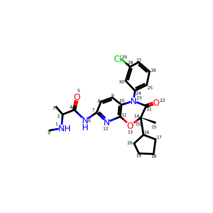 CNC(C)C(=O)Nc1ccc2c(n1)O[C@@](C)(C1CCCC1)C(=O)N2c1cccc(Cl)c1